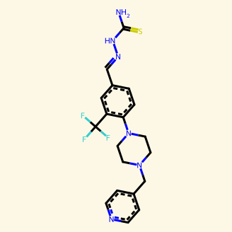 NC(=S)N/N=C/c1ccc(N2CCN(Cc3ccncc3)CC2)c(C(F)(F)F)c1